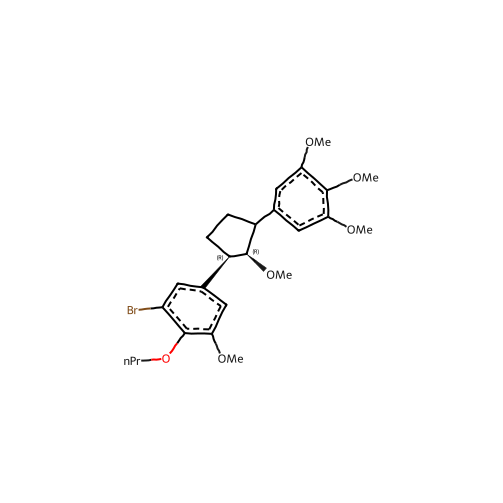 CCCOc1c(Br)cc([C@H]2CCC(c3cc(OC)c(OC)c(OC)c3)[C@H]2OC)cc1OC